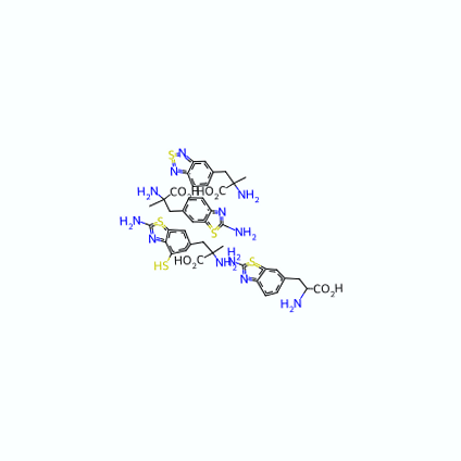 CC(N)(Cc1cc(S)c2nc(N)sc2c1)C(=O)O.CC(N)(Cc1ccc2nc(N)sc2c1)C(=O)O.CC(N)(Cc1ccc2nsnc2c1)C(=O)O.Nc1nc2ccc(CC(N)C(=O)O)cc2s1